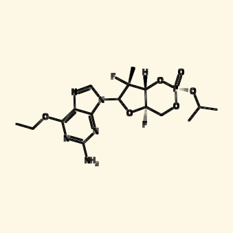 CCOc1nc(N)nc2c1ncn2C1O[C@]2(F)CO[P@@](=O)(OC(C)C)O[C@H]2[C@@]1(C)F